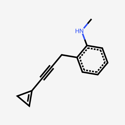 CNc1ccccc1CC#CC1=CC1